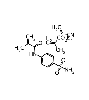 C=C(C)C(=O)Nc1ccc(S(N)(=O)=O)cc1.C=C(C)C(=O)OCC.C=CC#N